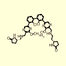 COc1nc(-c2cccc(-c3cccc(-c4cnc(CNC[C@@H]5CCC(=O)N5)c(OC)n4)c3Cl)c2Cl)cnc1CNCC[C@H]1CCC(=O)N1